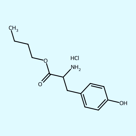 CCCCOC(=O)C(N)Cc1ccc(O)cc1.Cl